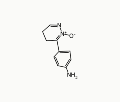 Nc1ccc(C2=[N+]([O-])N=CCC2)cc1